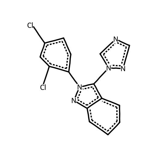 Clc1ccc(-n2nc3ccccc3c2-n2cncn2)c(Cl)c1